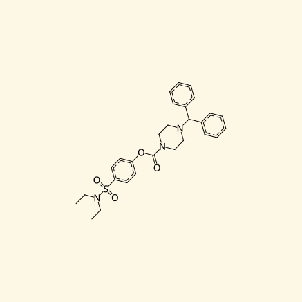 CCN(CC)S(=O)(=O)c1ccc(OC(=O)N2CCN(C(c3ccccc3)c3ccccc3)CC2)cc1